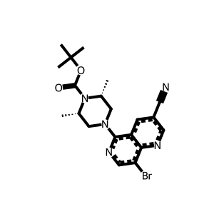 C[C@@H]1CN(c2ncc(Br)c3ncc(C#N)cc23)C[C@H](C)N1C(=O)OC(C)(C)C